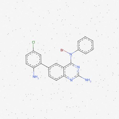 Nc1nc(N(Br)c2ccccc2)c2cc(-c3cc(Cl)ccc3N)ccc2n1